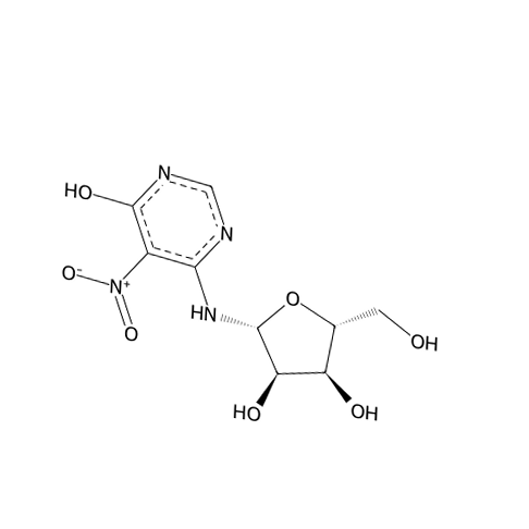 O=[N+]([O-])c1c(O)ncnc1N[C@@H]1O[C@H](CO)[C@@H](O)[C@H]1O